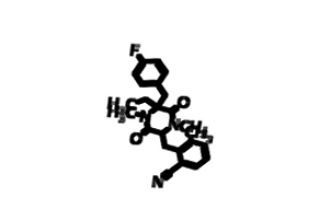 CCC1(Cc2ccc(F)cc2)C(=O)N(C)C(Cc2c(C)cccc2C#N)C(=O)N1C